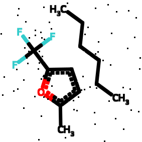 CCCCCC.Cc1ccc(C(F)(F)F)o1